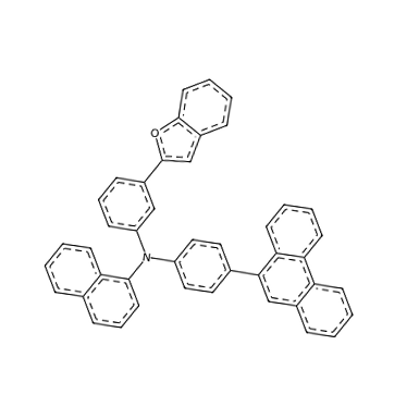 c1cc(-c2cc3ccccc3o2)cc(N(c2ccc(-c3cc4ccccc4c4ccccc34)cc2)c2cccc3ccccc23)c1